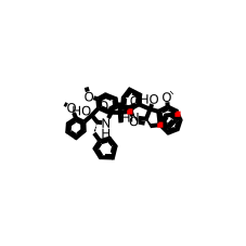 COc1ccccc1C(O)(c1ccccc1OC)[C@@H](Cc1ccccc1)NC(=O)C(C)(C)C(=O)N[C@H](Cc1ccccc1)C(O)(c1ccccc1OC)c1ccccc1OC